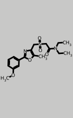 CCN(CC)C(=O)CS(=O)(=O)Cc1nc(-c2cccc(OC)c2)oc1C